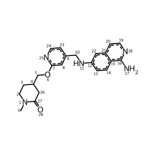 CN1CCC(COc2cc(CNc3ccc4c(N)nccc4c3)ccn2)CC1=O